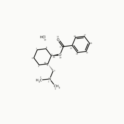 CN(C)C[C@@H]1CCCC[C@H]1OC(=O)c1ccccc1.Cl